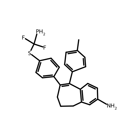 Cc1ccc(C2=C(c3ccc(SC(F)(F)P)cc3)CCCc3cc(N)ccc32)cc1